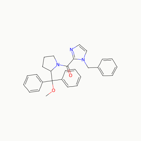 COC(c1ccccc1)(c1ccccc1)C1CCCN1C(=O)c1nccn1Cc1ccccc1